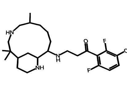 CC1CCCC(NCCC(=O)c2c(F)ccc(Cl)c2F)C2CC(CCN2)C(C)(C)CNC1